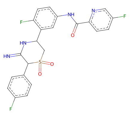 N=C1NC(c2cc(NC(=O)c3ccc(F)cn3)ccc2F)CS(=O)(=O)C1c1ccc(F)cc1